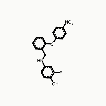 O=[N+]([O-])c1ccc(Sc2ccccc2CNc2ccc(O)c(F)c2)cc1